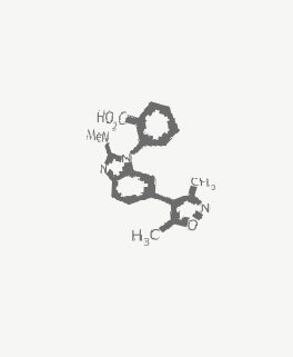 CNc1nc2ccc(-c3c(C)noc3C)cc2n1-c1ccccc1C(=O)O